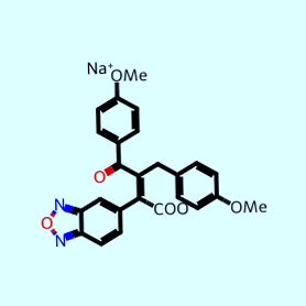 COc1ccc(CC(C(=O)c2ccc(OC)cc2)=C(C(=O)[O-])c2ccc3nonc3c2)cc1.[Na+]